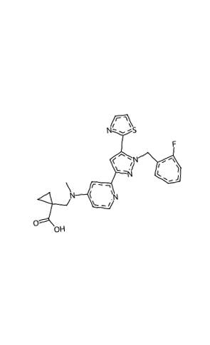 CN(CC1(C(=O)O)CC1)c1ccnc(-c2cc(-c3nccs3)n(Cc3ccccc3F)n2)c1